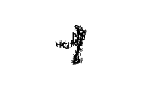 Cl.Cl.N=C(N)N(CCCCCCN1CCCC1)Cc1ccc(Cl)cc1